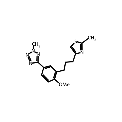 COc1ccc(-c2nnn(C)n2)cc1CCCc1csc(C)n1